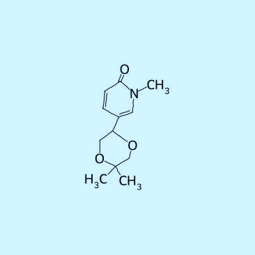 Cn1cc(C2COC(C)(C)CO2)ccc1=O